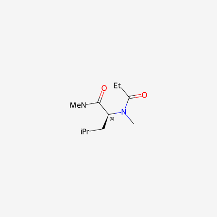 CCC(=O)N(C)[C@@H](CC(C)C)C(=O)NC